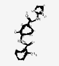 Cc1ccccc1C(=O)Nc1ccc(C(=O)Nc2nccs2)cc1Cl